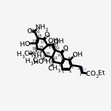 CCOC(=O)/C=C/c1ccc2c(c1O)C(=O)C1=C(O)[C@]3(O)C(=O)C(C(N)=O)=C(O)[C@@H](N(C)C)[C@@H]3[C@@H](O)[C@@H]1[C@H]2C